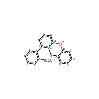 O=C(O)c1ccccc1-c1cccc2c1Cc1ccccc1O2